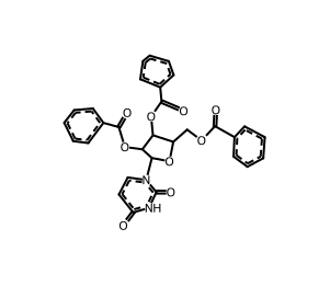 O=C(OCC1OC(n2ccc(=O)[nH]c2=O)C(OC(=O)c2ccccc2)C1OC(=O)c1ccccc1)c1ccccc1